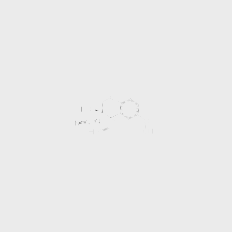 C=C[C@H]1c2cc(OC)ccc2OC[C@@]1(C)N=[N+]=[N-]